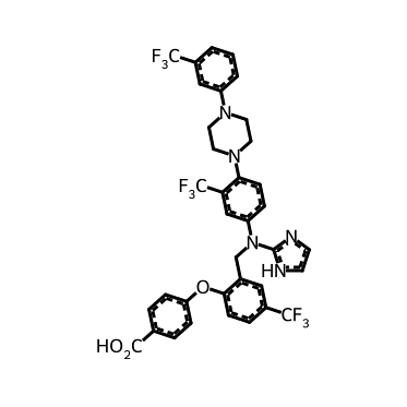 O=C(O)c1ccc(Oc2ccc(C(F)(F)F)cc2CN(c2ccc(N3CCN(c4cccc(C(F)(F)F)c4)CC3)c(C(F)(F)F)c2)c2ncc[nH]2)cc1